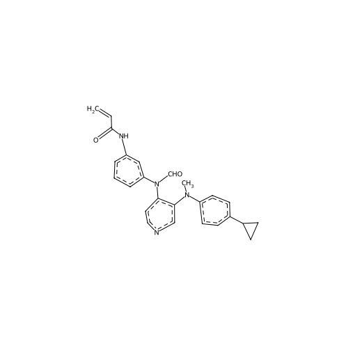 C=CC(=O)Nc1cccc(N(C=O)c2ccncc2N(C)c2ccc(C3CC3)cc2)c1